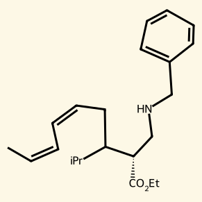 C/C=C\C=C/CC(C(C)C)[C@H](CNCc1ccccc1)C(=O)OCC